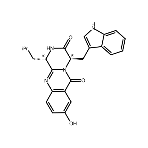 CC(C)C[C@@H]1NC(=O)[C@@H](Cc2c[nH]c3ccccc23)n2c1nc1ccc(O)cc1c2=O